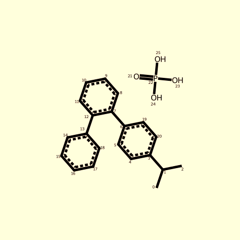 CC(C)c1ccc(-c2ccccc2-c2ccccc2)cc1.O=P(O)(O)O